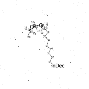 CCCCCCCCCCCCCCCCCC[Si](C)(C)O[Si](C)(C)O[Si](C)(C)C